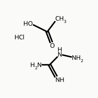 CC(=O)O.Cl.N=C(N)NN